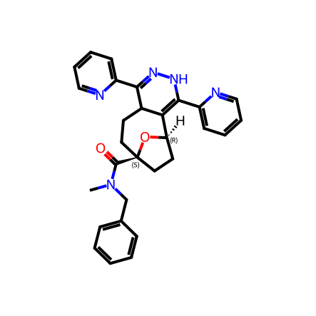 CN(Cc1ccccc1)C(=O)[C@]12CCC3C(c4ccccn4)=NNC(c4ccccn4)=C3[C@@H](CC1)O2